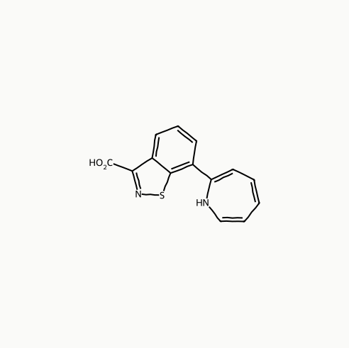 O=C(O)c1nsc2c(C3=CC=CC=CN3)cccc12